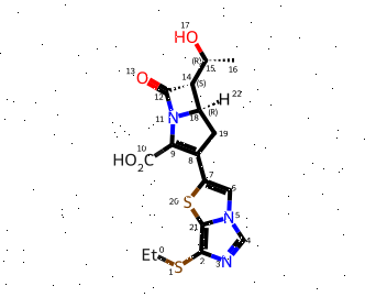 CCSc1ncn2cc(C3=C(C(=O)O)N4C(=O)[C@H]([C@@H](C)O)[C@H]4C3)sc12